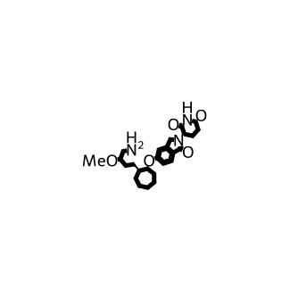 COC(CN)CC[C@@H]1CCCCC[C@H]1Oc1ccc2c(c1)CN(C1CCC(=O)NC1=O)C2=O